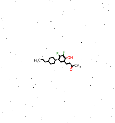 CCCC1CCC(c2cc(/C=C/C(C)=O)c(O)c(F)c2F)CC1